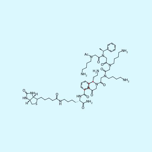 CC(=O)N(CCCCN)CC(=O)N(CC(=O)N(CCCCN)CC(=O)N(CCCCN)CC(=O)N(CC(=O)N(CCCCN)CC(=O)N[C@@H](CCCCNC(=O)CCCCC1SC[C@@H]2NC(=O)N[C@H]12)C(N)=O)[C@@H](C)c1ccccc1)[C@@H](C)c1ccccc1